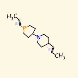 C/C=C/C1CCN(C2CCP(/C=C/C)CC2)CC1